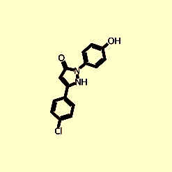 O=c1cc(-c2ccc(Cl)cc2)[nH]n1-c1ccc(O)cc1